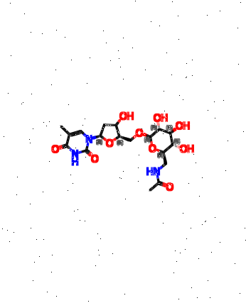 CC(=O)NC[C@H]1O[C@@H](OC[C@H]2O[C@@H](n3cc(C)c(=O)[nH]c3=O)CC2O)[C@H](O)[C@@H](O)[C@@H]1O